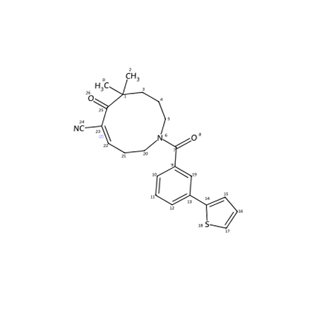 CC1(C)CCCN(C(=O)c2cccc(-c3cccs3)c2)CC/C=C(/C#N)C1=O